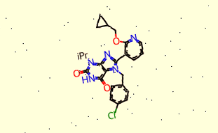 CC(C)n1c(=O)[nH]c(=O)c2c1nc(-c1cccnc1OCC1CC1)n2Cc1ccc(Cl)cc1